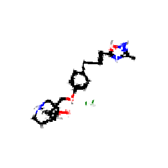 Cc1noc(/C=C/Cc2ccc(OCC3(O)CN4CCC3CC4)cc2)n1.Cl